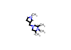 CC1CN(CC2CCN(C)C2)CC(C)N1C